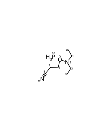 CCN(CC)OCCC#N.P